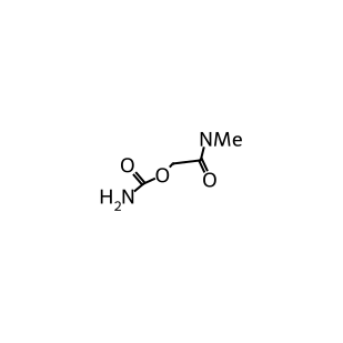 CNC(=O)COC(N)=O